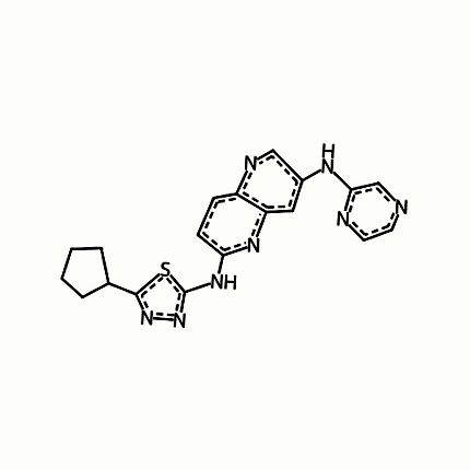 c1cnc(Nc2cnc3ccc(Nc4nnc(C5CCCC5)s4)nc3c2)cn1